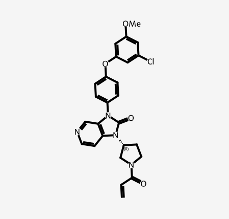 C=CC(=O)N1CC[C@@H](n2c(=O)n(-c3ccc(Oc4cc(Cl)cc(OC)c4)cc3)c3cnccc32)C1